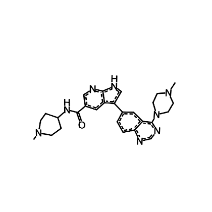 CN1CCC(NC(=O)c2cnc3[nH]cc(-c4ccc5ncnc(N6CCN(C)CC6)c5c4)c3c2)CC1